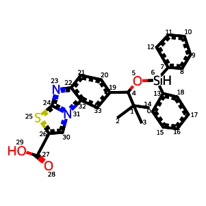 CC(C)(C)C(O[SiH](c1ccccc1)c1ccccc1)c1ccc2nc3sc(C(=O)O)cn3c2c1